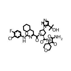 CC(C)(O)c1cnnn1[C@H]1C[C@@H](C(=O)NC2(C(=O)C(N)=O)CCOCC2)N(C(=O)/C(CC2CCCCC2)=N/C(=O)Nc2ccc(F)c(Cl)c2)C1